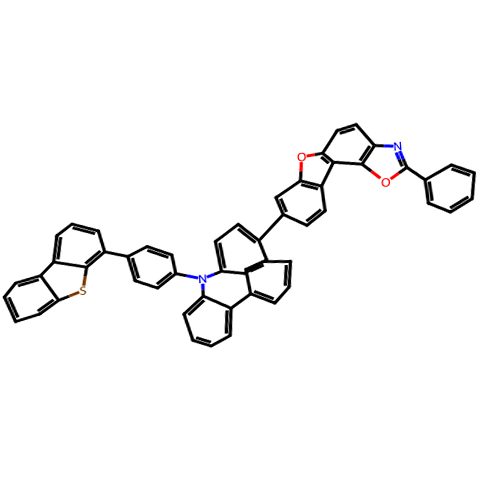 C1=C(c2ccc3c(c2)oc2ccc4nc(-c5ccccc5)oc4c23)CCC(N(c2ccc(-c3cccc4c3sc3ccccc34)cc2)c2ccccc2-c2ccccc2)=C1